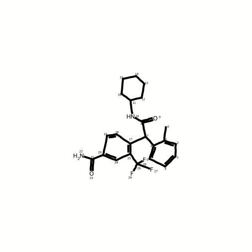 Cc1ccccc1C(C(=O)NC1CCCCC1)c1ccc(C(N)=O)cc1C(F)(F)F